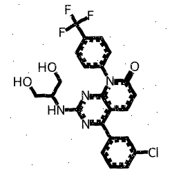 O=c1ccc2c(-c3cccc(Cl)c3)nc(NC(CO)CO)nc2n1-c1ccc(C(F)(F)F)cc1